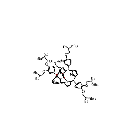 CCCCC(CC)COc1ccc(/C2=C3\C=CC(=N3)/C(c3ccc(OCC(CC)CCCC)c(OCC(CC)CCCC)c3)=c3/cc/c4n3Cn3c2ccc3/C(c2ccc(OCC(CC)CCCC)c(OCC(CC)CCCC)c2)=C2/C=CC(=N2)/C=4c2ccc(OCC(CC)CCCC)cc2)cc1